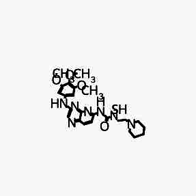 COc1cc(Nc2cnc3ccc(NC(=O)N(S)CCN4CCCCC4)nc3n2)cc(OC)c1OC